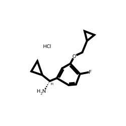 Cl.N[C@@H](c1ccc(F)c(OCC2CC2)c1)C1CC1